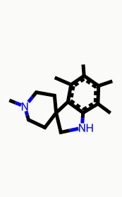 Cc1c(C)c(C)c2c(c1C)NCC21CCN(C)CC1